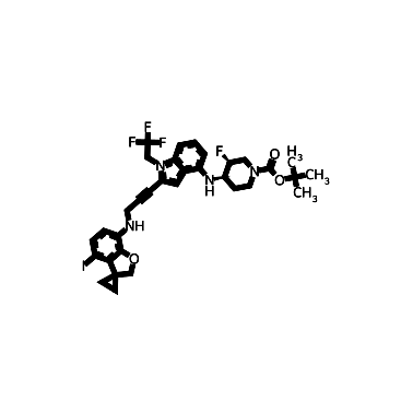 CC(C)(C)OC(=O)N1CC[C@@H](Nc2cccc3c2cc(C#CCNc2ccc(I)c4c2OCC42CC2)n3CC(F)(F)F)[C@@H](F)C1